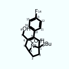 CC(C)(C)C12CCC(CC(CO)=C(c3ccc(F)cc3)C1)N2C(=O)O